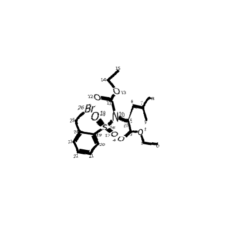 CCOC(=O)[C@H](CC(C)C)N(C(=O)OCC)S(=O)(=O)c1ccccc1CBr